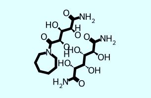 NC(=O)[C@@H](O)[C@@H](O)[C@H](O)[C@@H](O)C(N)=O.NC(=O)[C@@H](O)[C@H](O)[C@@H](O)C(=O)N1CCCCCC1